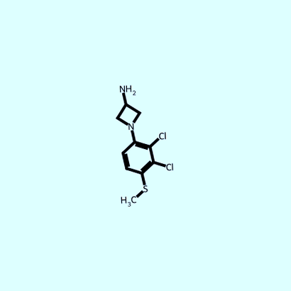 CSc1ccc(N2CC(N)C2)c(Cl)c1Cl